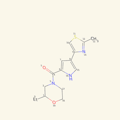 CCC1CN(C(=O)c2cc(-c3csc(C)n3)c[nH]2)CCO1